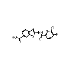 O=C(O)c1ccc2nc(NC(=O)c3ccc(F)c(Cl)n3)sc2c1